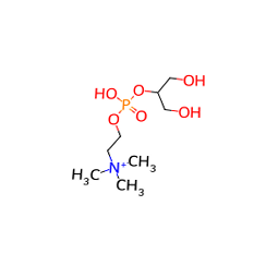 C[N+](C)(C)CCOP(=O)(O)OC(CO)CO